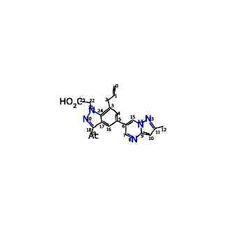 C=CCc1cc(-c2cnc3cc(C)nn3c2)cc2c(C(C)=O)nn(CC(=O)O)c12